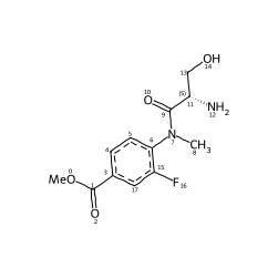 COC(=O)c1ccc(N(C)C(=O)[C@@H](N)CO)c(F)c1